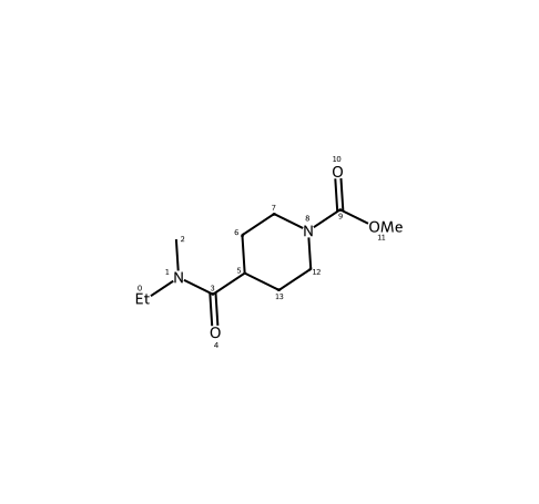 [CH2]CN(C)C(=O)C1CCN(C(=O)OC)CC1